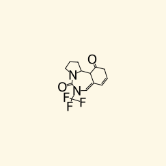 O=C1CC=CC2=CN(C(F)(F)F)C(=O)N3CCCC3C12